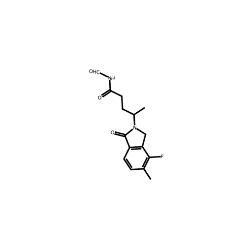 Cc1ccc2c(c1F)CN(C(C)CCC(=O)NC=O)C2=O